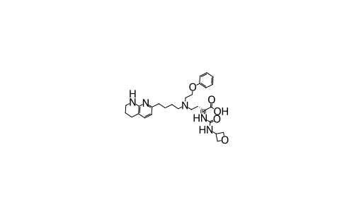 O=C(NC1COC1)N[C@H](CCN(CCCCc1ccc2c(n1)NCCC2)CCOc1ccccc1)C(=O)O